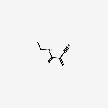 C=C(C#N)C(=S)NCC